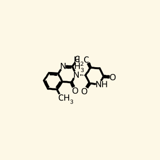 C=C1CC(=O)NC(=O)[C@@H]1n1c(C)nc2cccc(C)c2c1=O